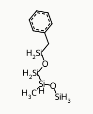 C[SiH](O[SiH3])[SiH2]O[SiH2]Cc1ccccc1